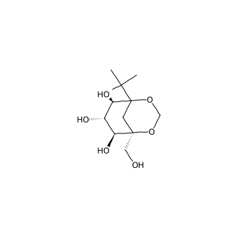 CC(C)(C)C12C[C@@](CO)(OCO1)[C@@H](O)[C@H](O)[C@H]2O